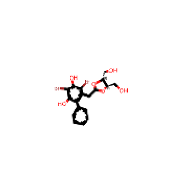 OC[C@H]1OC(Cc2c(Br)c(O)c(Br)c(O)c2-c2ccccc2)O[C@@H]1CO